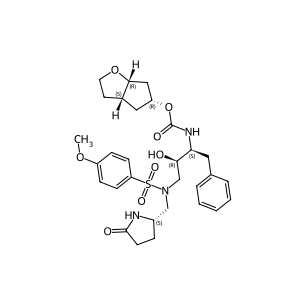 COc1ccc(S(=O)(=O)N(C[C@@H]2CCC(=O)N2)C[C@@H](O)[C@H](Cc2ccccc2)NC(=O)O[C@@H]2C[C@@H]3CCO[C@@H]3C2)cc1